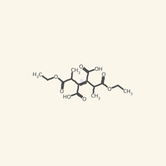 CCOC(=O)C(C)/C(C(=O)O)=C(\C(=O)O)C(C)C(=O)OCC